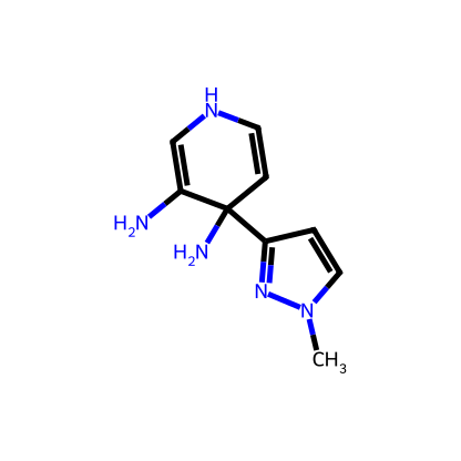 Cn1ccc(C2(N)C=CNC=C2N)n1